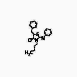 CCCCN1C(=O)/C(=C/c2ccccc2)S/C1=N\c1ccccc1